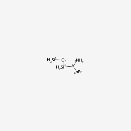 CCCC(N)[SiH2]O[SiH3]